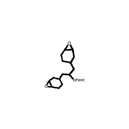 CCCCCC(CC1CCC2OC2C1)CC1CCC2OC2C1